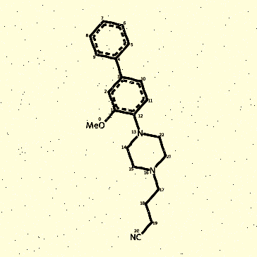 COc1cc(-c2ccccc2)ccc1N1CCN(CCCC#N)CC1